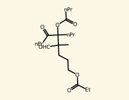 CCCC(=O)OC(CCC)(C(=O)CCC)C(C)([C]=O)CCCOC(=O)CC